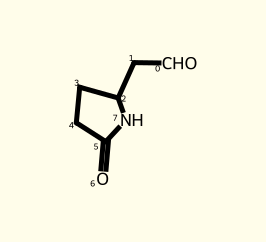 O=CCC1CCC(=O)N1